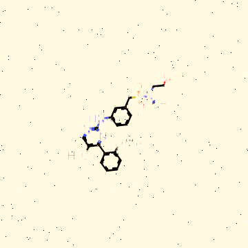 COc1ccccc1-c1nc(Nc2cccc(CS(=O)(=O)N(C)CCO)c2)ncc1C